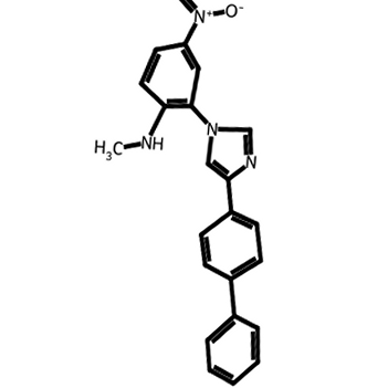 CNc1ccc([N+](=O)[O-])cc1-n1cnc(-c2ccc(-c3ccccc3)cc2)c1